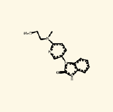 COCCN(C)c1ccc(-n2c(=O)[nH]c3ccccc32)cn1